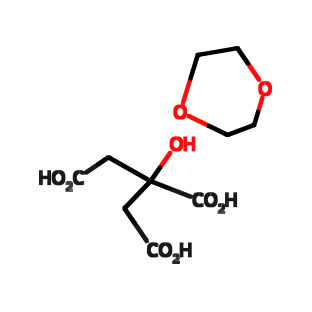 C1COCCO1.O=C(O)CC(O)(CC(=O)O)C(=O)O